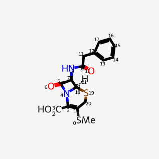 CSC1=C(C(=O)O)N2C(=O)C(NC(=O)Cc3ccccc3)[C@H]2SC1